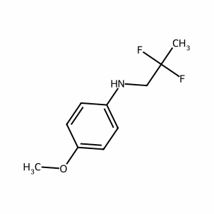 COc1ccc(NCC(C)(F)F)cc1